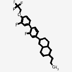 CCCC1CCC2CC(c3ccc(-c4ccc(OCC(F)(F)F)c(F)c4)c(F)c3)CCC2C1